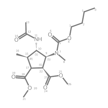 CCCCOC(=O)N(C)[C@@H]1[C@@H](NC(C)=O)[C@H](C)C(C(=O)OC)[C@@H]1C(=O)OC